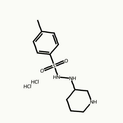 Cc1ccc(S(=O)(=O)NNC2CCCNC2)cc1.Cl.Cl